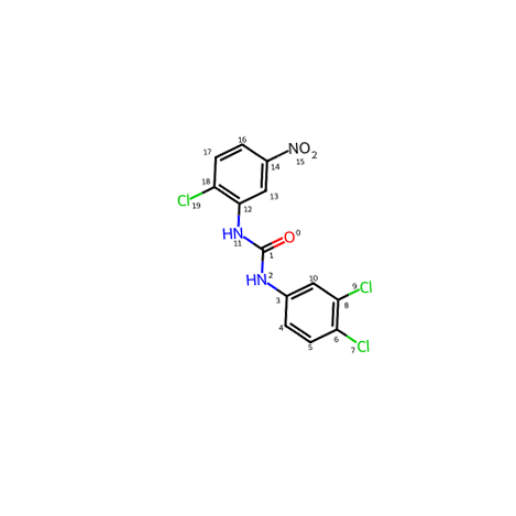 O=C(Nc1ccc(Cl)c(Cl)c1)Nc1cc([N+](=O)[O-])ccc1Cl